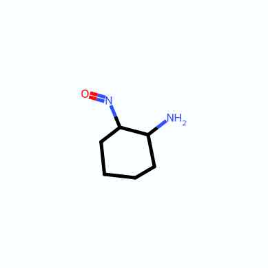 NC1CCCCC1N=O